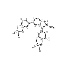 C#Cc1nc2ccc(-c3cccc(CC(F)(F)F)c3)cc2n1-c1ccc(OC(F)(F)F)c(Cl)c1